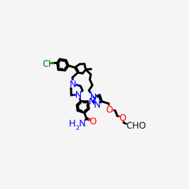 CC1(CCCCn2cc(COCCOCC=O)nn2)CCC(c2ccc(Cl)cc2)=C(CN2CCN(c3ccc(C(N)=O)cc3)CC2)C1